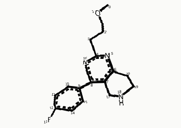 COCCc1nc2c(c(-c3ccc(F)cc3)n1)CNCC2